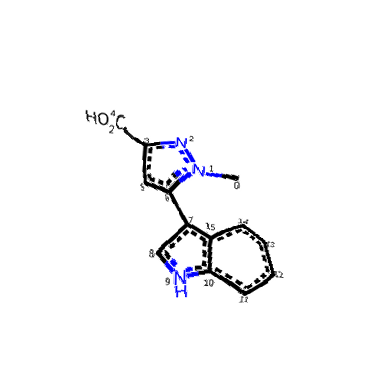 Cn1nc(C(=O)O)cc1-c1c[nH]c2ccccc12